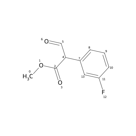 COC(=O)C(C=O)c1cccc(F)c1